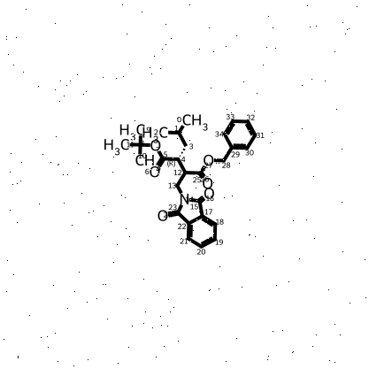 CC(C)C[C@@H](C(=O)OC(C)(C)C)C(CN1C(=O)c2ccccc2C1=O)C(=O)OCc1ccccc1